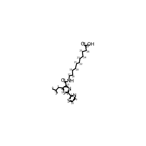 CC(C)Cc1sc(-c2nccs2)nc1C(=O)NCCCCCCCCCCC(=O)O